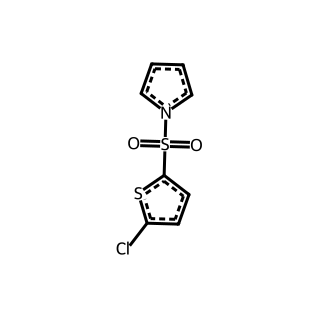 O=S(=O)(c1ccc(Cl)s1)n1cccc1